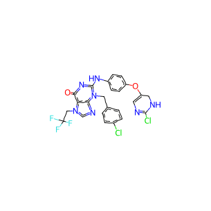 O=c1nc(Nc2ccc(OC3=CN=C(Cl)NC3)cc2)n(Cc2ccc(Cl)cc2)c2ncn(CC(F)(F)F)c12